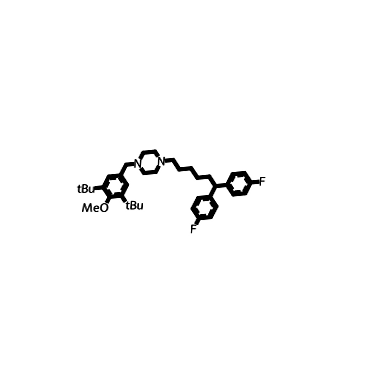 COc1c(C(C)(C)C)cc(CN2CCN(CCCCCC(c3ccc(F)cc3)c3ccc(F)cc3)CC2)cc1C(C)(C)C